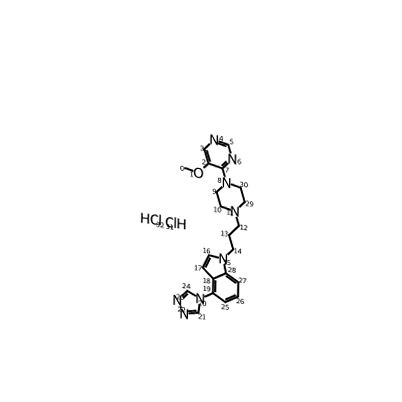 COc1cncnc1N1CCN(CCCn2ccc3c(-n4cnnc4)cccc32)CC1.Cl.Cl